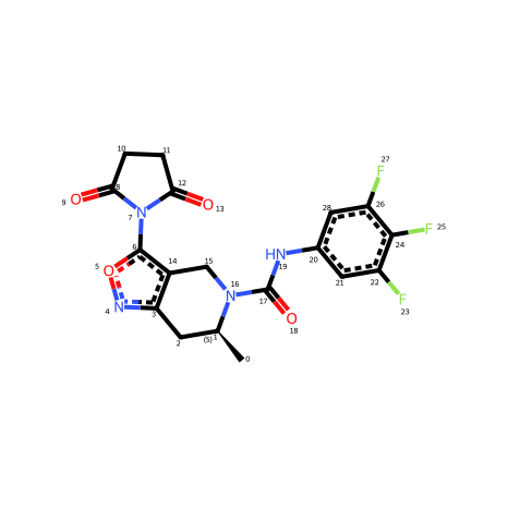 C[C@H]1Cc2noc(N3C(=O)CCC3=O)c2CN1C(=O)Nc1cc(F)c(F)c(F)c1